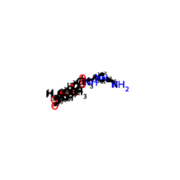 C[C@]1(OC(=O)NCCCN2CCN(CCCN)CC2)CC[C@@]2(C)[C@H](CC[C@@H]3[C@@H]2CC[C@]2(C)[C@@](C)(C4=CC(=O)OC4)CC[C@]32O)C1